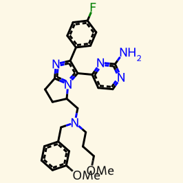 COCCCN(Cc1cccc(OC)c1)CC1CCc2nc(-c3ccc(F)cc3)c(-c3ccnc(N)n3)n21